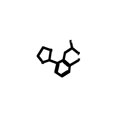 Fc1cccc(C2OCCO2)c1CC(F)F